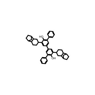 Oc1c(-c2ccccc2)cc(-c2cc(-c3ccccc3)c(O)c(C3CCC4C5CCC(C5)C4C3)c2)cc1C1CCC2C3CCC(C3)C2C1